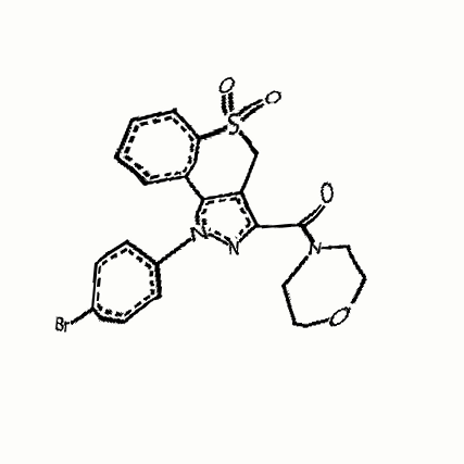 O=C(c1nn(-c2ccc(Br)cc2)c2c1CS(=O)(=O)c1ccccc1-2)N1CCOCC1